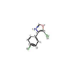 Fc1ccc(-c2ncoc2Br)cc1